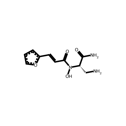 NC[C@@H](C(N)=O)N(O)C(=O)/C=C/c1ccco1